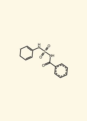 O=C(NS(=O)(=O)NC1=C[CH]CC=C1)c1ccccc1